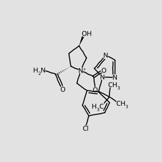 CC(C)(C)OC(=O)[N+]1(Cc2cc(Cl)ccc2-n2cncn2)C[C@H](O)C[C@H]1C(N)=O